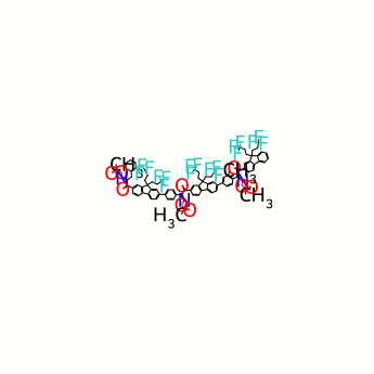 CC(=O)O/N=C(\CC1CCCCC1)C(=O)c1ccc2c(c1)C(CCC(F)(F)F)(CCC(F)(F)F)c1cc(-c3ccc(/C(=N\OC(C)=O)C(=O)c4ccc5c(c4)C(CCC(F)(F)F)(CCC(F)(F)F)c4cc(-c6ccc(/C(=N\OC(C)=O)C(=O)c7ccc8c(c7)C(CCC(F)(F)F)(CCC(F)(F)F)c7ccccc7-8)c(C)c6)ccc4-5)cc3)ccc1-2